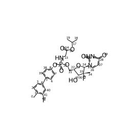 Cc1ccc(-c2ccc(OP(=O)(NCC(=O)OC(C)C)OC[C@H]3O[C@@H](n4ccc(=O)[nH]c4=O)[C@](C)(F)[C@@H]3O)cc2)cc1F